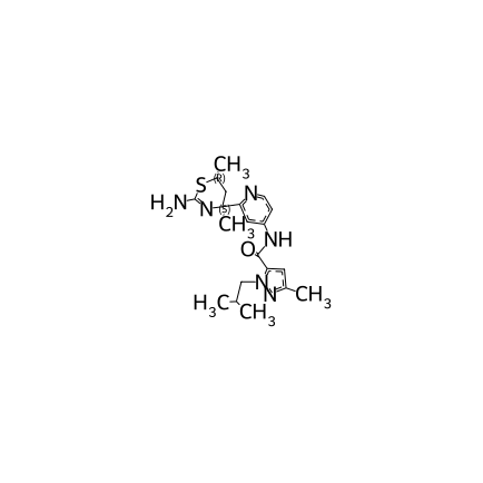 Cc1cc(C(=O)Nc2ccnc([C@]3(C)C[C@@H](C)SC(N)=N3)c2)n(CC(C)C)n1